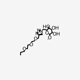 CCCOCCOCCOCc1cn(CC2OC(OC)C(O)C(O)C2O)nn1